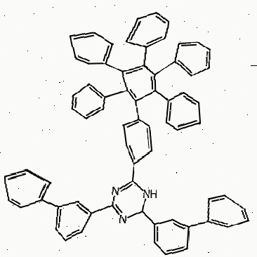 c1ccc(-c2cccc(C3=NC(c4cccc(-c5ccccc5)c4)NC(c4ccc(-c5c(-c6ccccc6)c(-c6ccccc6)c(-c6ccccc6)c(-c6ccccc6)c5-c5ccccc5)cc4)=N3)c2)cc1